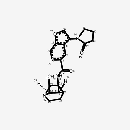 C[C@H]1[C@H](NC(=O)c2cc3c(N4CCCC4=O)coc3cn2)C2CCN1CC2